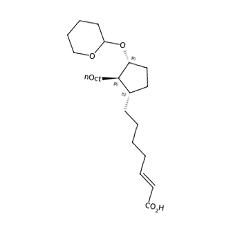 CCCCCCCC[C@@H]1[C@@H](CCCCC=CC(=O)O)CC[C@H]1OC1CCCCO1